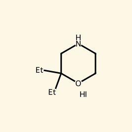 CCC1(CC)CNCCO1.I